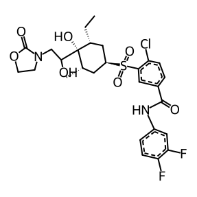 CC[C@@H]1C[C@@H](S(=O)(=O)c2cc(C(=O)Nc3ccc(F)c(F)c3)ccc2Cl)C[C@H](C)[C@@]1(O)C(O)CN1CCOC1=O